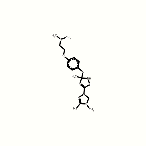 CN(C)CCOc1ccc(SC2(C)N=C(N3CN(C)C(S)=N3)SN2)cc1